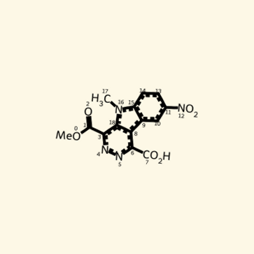 COC(=O)c1nnc(C(=O)O)c2c3cc([N+](=O)[O-])ccc3n(C)c12